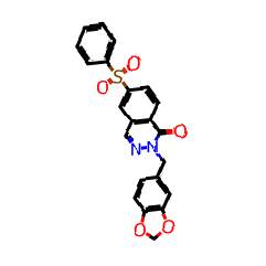 O=c1c2ccc(S(=O)(=O)c3ccccc3)cc2cnn1Cc1ccc2c(c1)OCO2